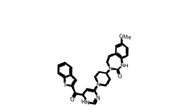 COc1ccc2c(c1)CCN(C1CCN(C3=CC(C(=O)c4cc5ccccc5s4)NC=N3)CC1)C(=O)N2